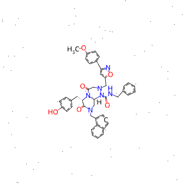 COc1ccc(-c2cc(CN3CC(=O)N4[C@@H](Cc5ccc(O)cc5)C(=O)N(Cc5cccc6ccccc56)C[C@@H]4N3C(=O)NCc3ccccc3)on2)cc1